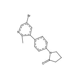 Cc1ncc(Br)cc1-c1ccc(N2CCCC2=O)cc1